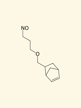 O=NCCCOCC1CC2C=CC1C2